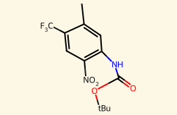 Cc1cc(NC(=O)OC(C)(C)C)c([N+](=O)[O-])cc1C(F)(F)F